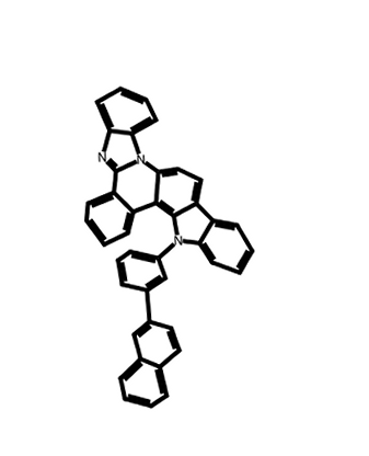 c1cc(-c2ccc3ccccc3c2)cc(-n2c3ccccc3c3ccc4c(c5ccccc5c5nc6ccccc6n45)c32)c1